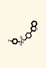 O=[PH](CC1CCC(c2cnc3ccccc3c2)CC1)Nc1ccc(F)cc1